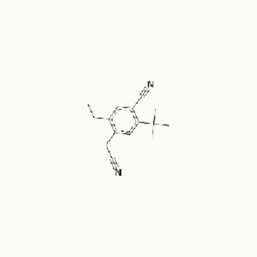 CCc1cc(C#N)c(C(C)(C)C)cc1CC#N